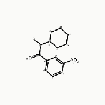 CC(C(=O)c1cccc([N+](=O)[O-])c1)N1CCCCC1